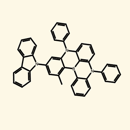 Cc1cc(-n2c3ccccc3c3ccccc32)cc2c1B1c3ccccc3N(c3ccccc3)c3cccc(c31)N2c1ccccc1